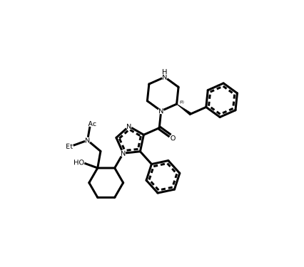 CCN(CC1(O)CCCCC1n1cnc(C(=O)N2CCNC[C@H]2Cc2ccccc2)c1-c1ccccc1)C(C)=O